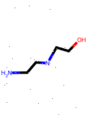 NCC[N]CCO